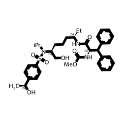 CC[C@@H](CCC[C@@H](CO)N(C(C)C)S(=O)(=O)c1ccc([C@H](C)O)cc1)NC(=O)[C@@H](NC(=O)OC)C(c1ccccc1)c1ccccc1